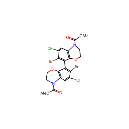 COC(=O)N1CCOc2c1cc(Cl)c(Br)c2-c1c(Br)c(Cl)cc2c1OCCN2C(=O)OC